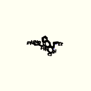 CC/C=C\C=C1\NC(Cl)NC(NCC2CC(C(C)C)NO2)C1CC1C=CC=CC1